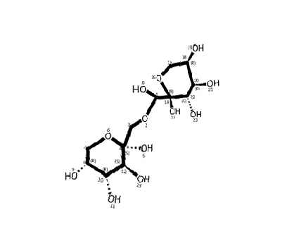 OC(OC[C@]1(O)OC[C@@H](O)[C@@H](O)[C@@H]1O)[C@]1(O)OC[C@@H](O)[C@@H](O)[C@@H]1O